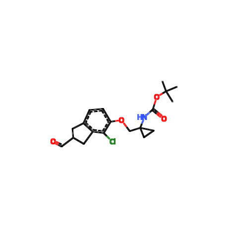 CC(C)(C)OC(=O)NC1(COc2ccc3c(c2Cl)CC(C=O)C3)CC1